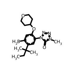 Bc1cc(OC2CCOCC2)c(-n2nnn(C)c2=O)cc1C(C)(C)CC